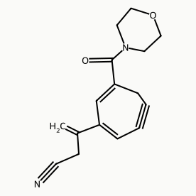 C=C(CC#N)C1=CC#CCC(C(=O)N2CCOCC2)=C1